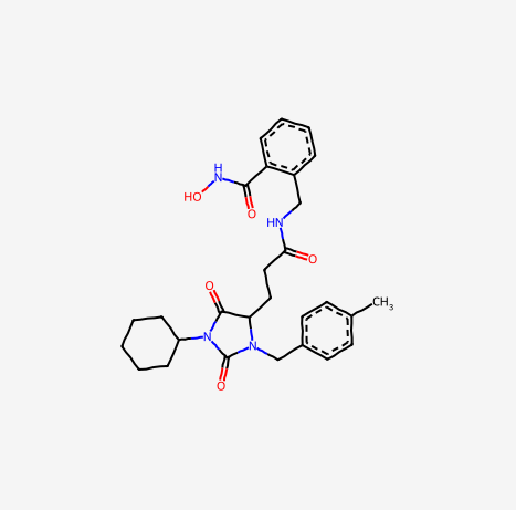 Cc1ccc(CN2C(=O)N(C3CCCCC3)C(=O)C2CCC(=O)NCc2ccccc2C(=O)NO)cc1